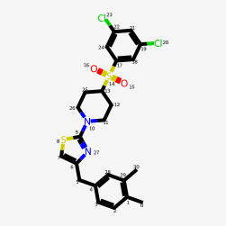 Cc1ccc(Cc2csc(N3CCC(S(=O)(=O)c4cc(Cl)cc(Cl)c4)CC3)n2)cc1C